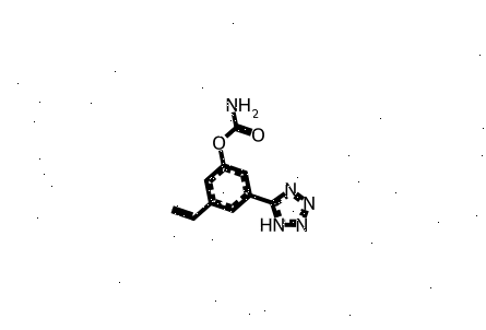 C=Cc1cc(OC(N)=O)cc(-c2nnn[nH]2)c1